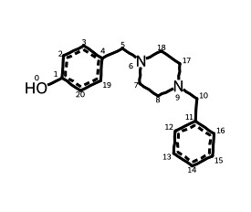 Oc1ccc(CN2CCN(Cc3ccccc3)CC2)cc1